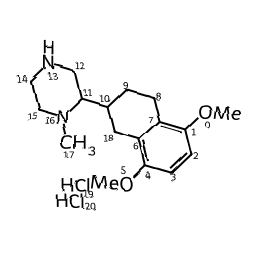 COc1ccc(OC)c2c1CCC(C1CNCCN1C)C2.Cl.Cl